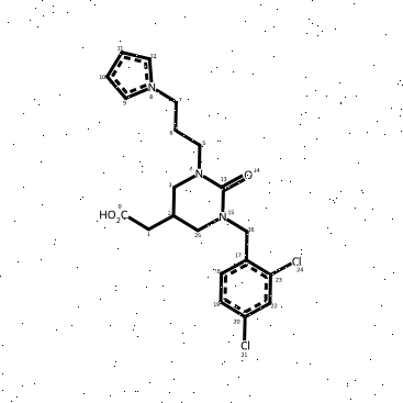 O=C(O)CC1CN(CCCn2cccc2)C(=O)N(Cc2ccc(Cl)cc2Cl)C1